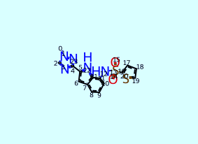 Cn1cnc(-c2cc3cccc(NS(=O)(=O)c4cccs4)c3[nH]2)n1